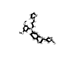 COc1cc(OC)cc(N(CCCn2cccn2)c2ccc3ncc(-c4cnn(C)c4)nc3c2)c1